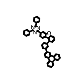 c1ccc(-c2nc(-c3ccccc3)nc(-c3ccc4c(c3)oc3cccc(-c5cccc(-c6ccc7c8ccccc8c8ccccc8c7c6)c5)c34)n2)cc1